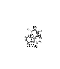 COc1cccc([C@@]23CCCC[C@@H]2N(C)C(=O)[C@@H](C)O3)c1